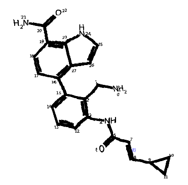 NCc1c(NC(=O)/C=C/C2CC2)cccc1-c1ccc(C(N)=O)c2[nH]ccc12